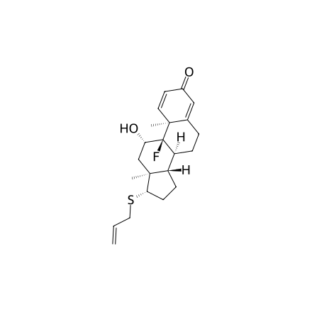 C=CCS[C@H]1CC[C@H]2[C@@H]3CCC4=CC(=O)C=C[C@]4(C)[C@@]3(F)[C@@H](O)C[C@]12C